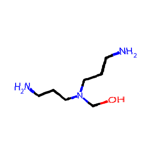 NCCCN(CO)CCCN